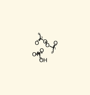 CC(=O)OOC(C)=O.O=[N+]([O-])O